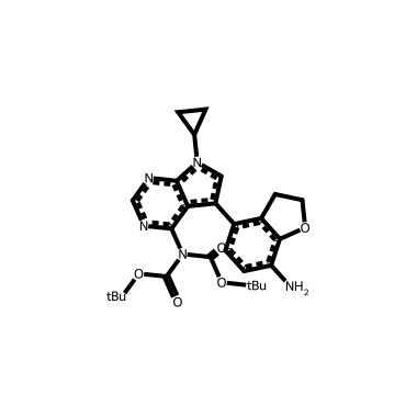 CC(C)(C)OC(=O)N(C(=O)OC(C)(C)C)c1ncnc2c1c(-c1ccc(N)c3c1CCO3)cn2C1CC1